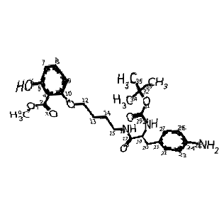 COC(=O)c1c(O)cccc1OCCCCNC(=O)[C@H](Cc1ccc(N)cc1)NC(=O)OC(C)(C)C